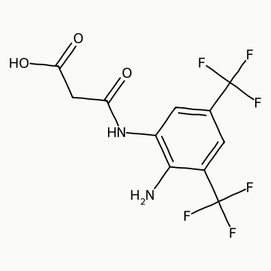 Nc1c(NC(=O)CC(=O)O)cc(C(F)(F)F)cc1C(F)(F)F